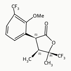 COc1c([C@H]2C(=O)O[C@@](C)(C(F)(F)F)[C@H]2C)cccc1C(F)(F)F